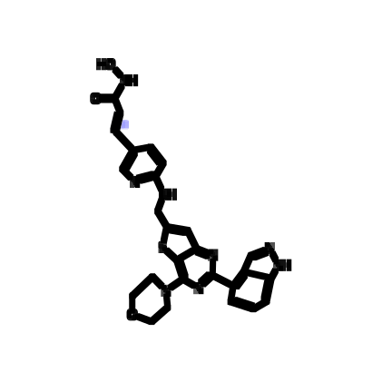 O=C(/C=C/c1ccc(NCc2cc3nc(-c4cccc5[nH]ncc45)nc(N4CCOCC4)c3s2)nc1)NO